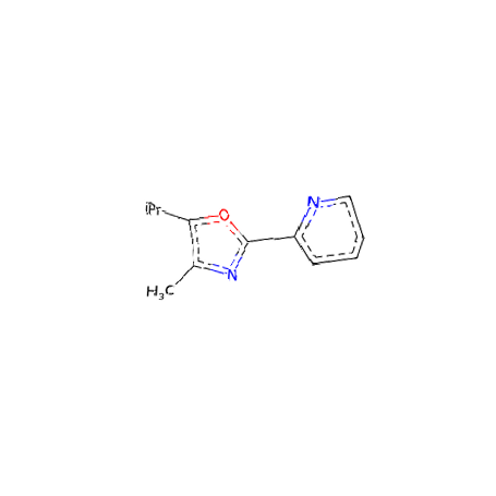 Cc1nc(-c2ccccn2)oc1C(C)C